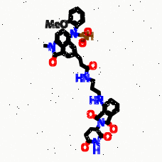 COc1ccccc1N(c1ccc2c3c(cc(CCC(=O)NCCCNc4cccc5c4C(=O)N(C4CCC(=O)NC4=O)C5=O)cc13)C(=O)N2C)[SH](=O)=O